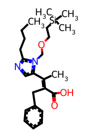 CCCCc1ncc(C(C)=C(Cc2ccccc2)C(=O)O)n1COCC[Si](C)(C)C